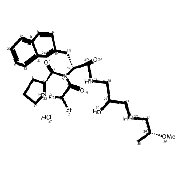 CCC(CC)C(=O)N(C(=O)[C@@H]1CCCN1)[C@H](Cc1ccc2ccccc2c1)C(=O)NCC(O)CNC[C@@H](C)OC.Cl